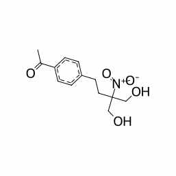 CC(=O)c1ccc(CCC(CO)(CO)[N+](=O)[O-])cc1